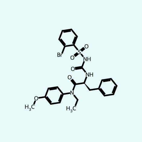 CCN(C(=O)[C@H](Cc1ccccc1)NC(=O)NS(=O)(=O)c1ccccc1Br)c1ccc(OC)cc1